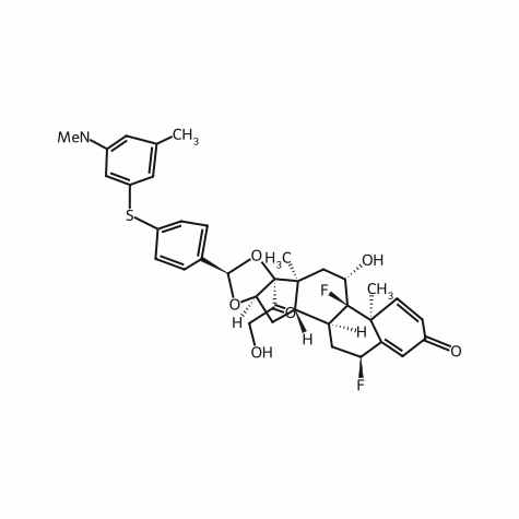 CNc1cc(C)cc(Sc2ccc([C@@H]3O[C@@H]4C[C@H]5[C@@H]6C[C@H](F)C7=CC(=O)C=C[C@]7(C)[C@@]6(F)[C@@H](O)C[C@]5(C)[C@]4(C(=O)CO)O3)cc2)c1